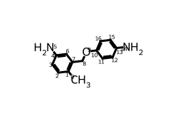 Cc1ccc(N)cc1COc1ccc(N)cc1